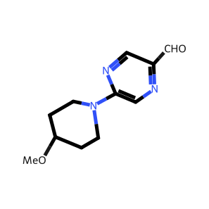 COC1CCN(c2cnc(C=O)cn2)CC1